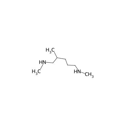 CNCCCC(C)CNC